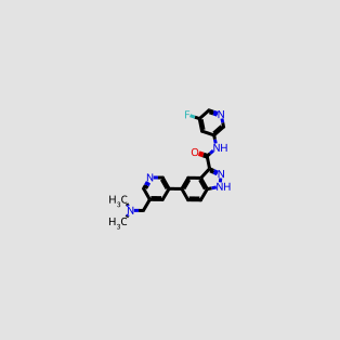 CN(C)Cc1cncc(-c2ccc3[nH]nc(C(=O)Nc4cncc(F)c4)c3c2)c1